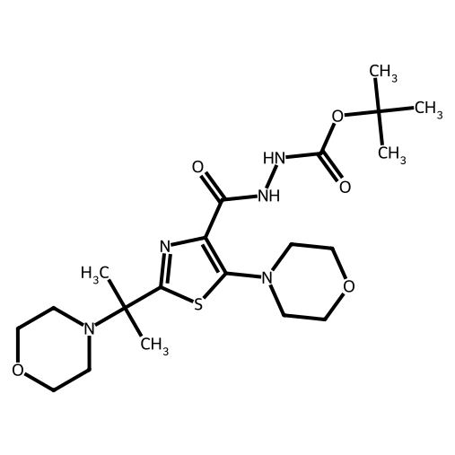 CC(C)(C)OC(=O)NNC(=O)c1nc(C(C)(C)N2CCOCC2)sc1N1CCOCC1